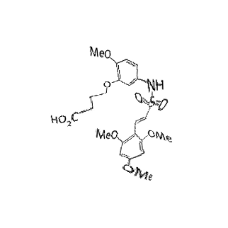 COc1cc(OC)c(C=CS(=O)(=O)Nc2ccc(OC)c(OCCCC(=O)O)c2)c(OC)c1